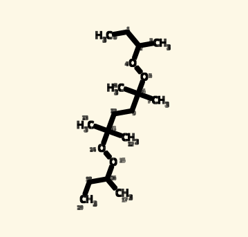 CCC(C)OOC(C)(C)CCC(C)(C)OOC(C)CC